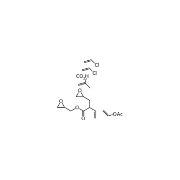 C=C(C)C(=O)O.C=CC(CC1CO1)C(=O)OCC1CO1.C=CCl.C=CCl.C=COC(C)=O